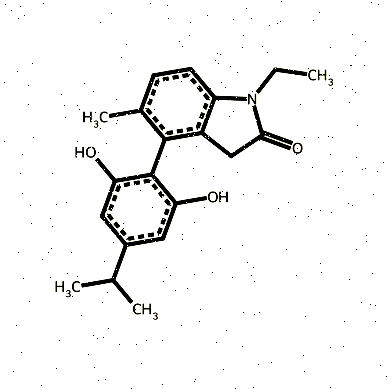 CCN1C(=O)Cc2c1ccc(C)c2-c1c(O)cc(C(C)C)cc1O